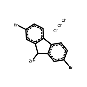 Brc1ccc2c(c1)[CH]([Zr+3])c1cc(Br)ccc1-2.[Cl-].[Cl-].[Cl-]